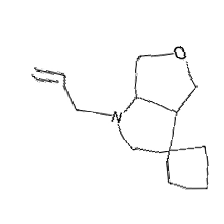 C=CCN1CC2(CCC2)C2COCC21